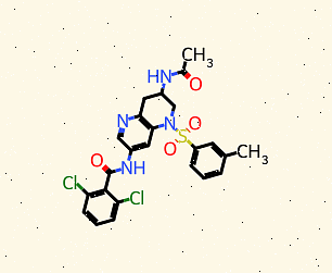 CC(=O)NC1Cc2ncc(NC(=O)c3c(Cl)cccc3Cl)cc2N(S(=O)(=O)c2cccc(C)c2)C1